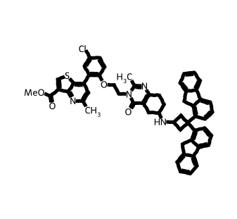 COC(=O)c1csc2c(-c3cc(Cl)ccc3OCCn3c(C)nc4c(c3=O)CC(NC3CC(c5cccc6c5Cc5ccccc5-6)(c5cccc6c5Cc5ccccc5-6)C3)CC4)cc(C)nc12